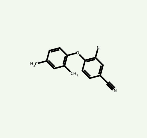 Cc1ccc(Oc2ccc(C#N)cc2Cl)c(C)c1